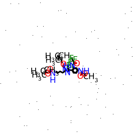 COC(=O)Nc1ccc(-c2nc(CCC=CNC(=O)OC(C)(C)C)n(COCC[Si](C)(C)C)c2Br)c(NC(=O)C(F)(F)F)c1